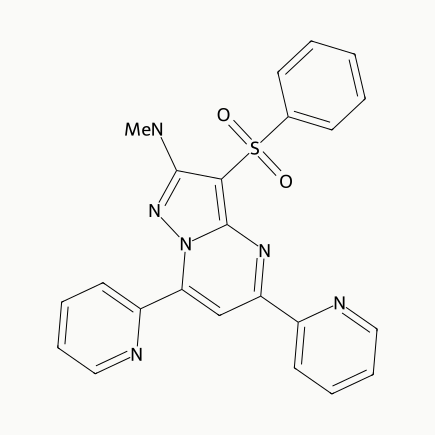 CNc1nn2c(-c3ccccn3)cc(-c3ccccn3)nc2c1S(=O)(=O)c1ccccc1